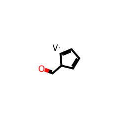 O=CC1C=CC=C1.[V]